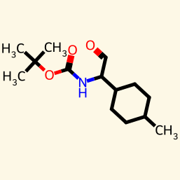 CC1CCC(C(C=O)NC(=O)OC(C)(C)C)CC1